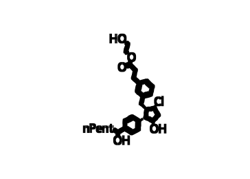 CCCCCC(O)c1ccc([C@@H]2[C@@H](Cc3cccc(CCC(=O)OCCO)c3)[C@H](Cl)C[C@H]2O)cc1